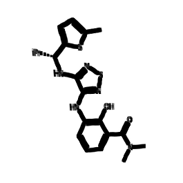 Cc1ccc([C@H](Nc2nsnc2Nc2cccc(C(=O)N(C)C)c2O)C(C)C)s1